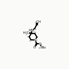 C#CCNC1(C)CCN(C(=O)OC(C)(C)C)CC1